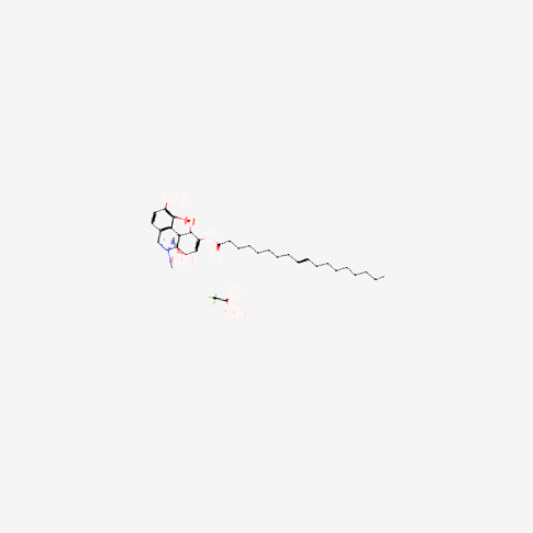 CCCCCCCCC=CCCCCCCCC(=O)OC1=CC[C@]2(O)C3Cc4ccc(O)c5c4[C@@]2(CCN3C)[C@H]1O5.O=C(O)C(F)(F)F